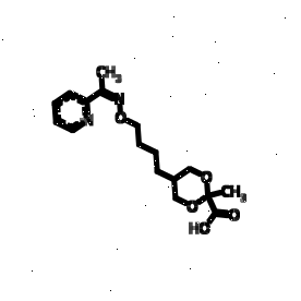 CC(=NOCCCCC1COC(C)(C(=O)O)OC1)c1ccccn1